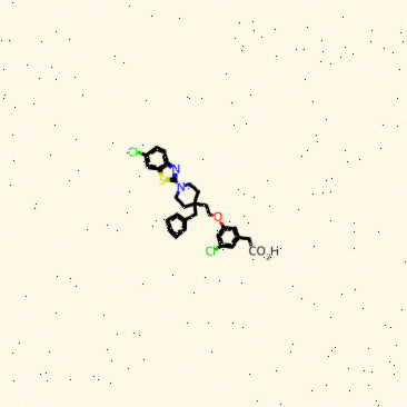 O=C(O)Cc1cc(Cl)cc(OCCC2(Cc3ccccc3)CCN(c3nc4ccc(Cl)cc4s3)CC2)c1